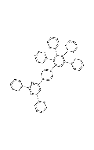 c1ccc(-c2cc(-c3ccc(-c4cc(-c5ccccc5)c(-c5ccccc5)c(-c5ccccc5)c4-c4ccccc4)cc3)nc(-c3ccccc3)n2)cc1